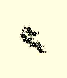 Cc1cc(F)c(NS(=O)(=O)c2c[nH]c3nc(Cl)ccc23)cc1F.N#Cc1c(Cl)ccc2c(S(=O)(=O)Nc3cc(F)c(Cl)cc3F)c[nH]c12.O=S(=O)(Nc1cc(F)c(Cl)cc1F)c1c[nH]c2c1ccc1ccc(O)nc12